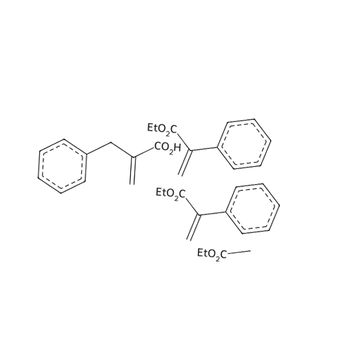 C=C(C(=O)OCC)c1ccccc1.C=C(C(=O)OCC)c1ccccc1.C=C(Cc1ccccc1)C(=O)O.CCOC(C)=O